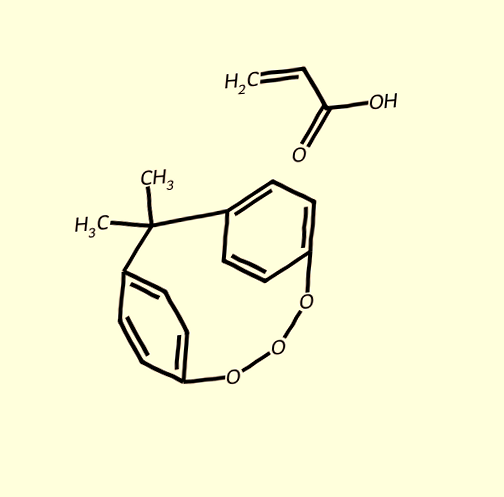 C=CC(=O)O.CC1(C)c2ccc(cc2)OOOc2ccc1cc2